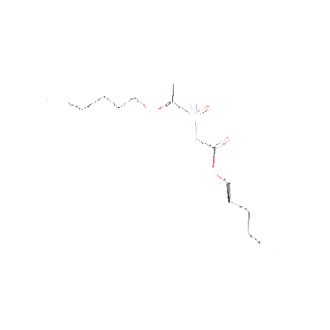 CCCCCOC(=O)C[PH](=O)C(C)OCCCCC